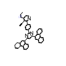 C#Cc1c(/C=C\C)ccnc1-c1ccc(-c2nc(-c3cc4c(c5ccccc35)C=CCC4)cc(-c3cc4ccccc4c4ccccc34)n2)cc1